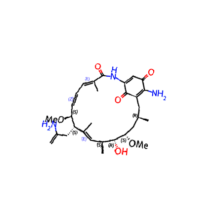 C=C(N)C[C@H]1/C(C)=C/[C@H](C)[C@@H](O)[C@@H](OC)C[C@H](C)CC2=C(N)C(=O)C=C(NC(=O)/C(C)=C/C=C\[C@@H]1OC)C2=O